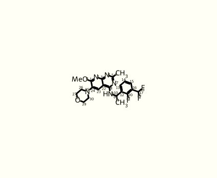 COc1nc2nc(C)nc(N[C@H](C)c3cccc(C(F)F)c3F)c2cc1N1CCOCC1